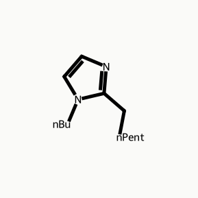 CCCCCCc1nccn1CCCC